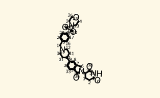 O=C1CCC(N2Cc3cc(C4CCN(Cc5ccc(S(=O)(=O)N6CCOCC6)cc5)CC4)ccc3C2=O)C(=O)N1